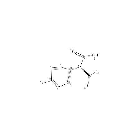 Cc1ccc([C@@H](C(=O)O)C(C)C)cc1